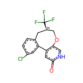 O=c1cc2c(c[nH]1)OC[C@H](C(F)(F)F)Cc1ccc(Cl)cc1-2